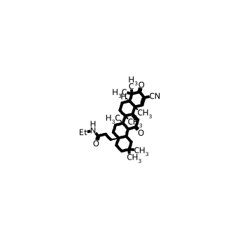 CCNC(=O)CC[C@]12CCC(C)(C)CC1C1C(=O)C=C3[C@@]4(C)C=C(C#N)C(=O)C(C)(C)[C@@H]4CC[C@@]3(C)[C@]1(C)CC2